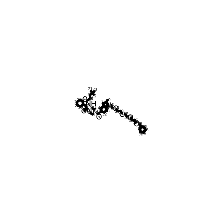 Cc1cc2cc(C(=O)N3CCN(C(=O)[C@@H](NC(=O)[CH]CC(C)(C)C)C4CCCCC4)CC3)ccc2n1CCOCCOCCOCCOCc1ccccc1